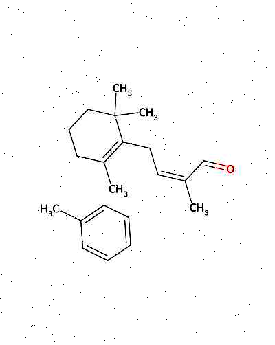 CC(C=O)=CCC1=C(C)CCCC1(C)C.Cc1ccccc1